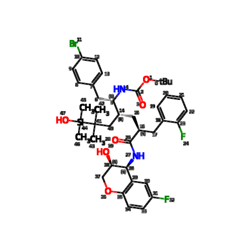 CC(C)(C)OC(=O)N[C@@H](Cc1ccc(Br)cc1)[C@H](C[C@@H](Cc1ccccc1F)C(=O)N[C@H]1c2cc(F)ccc2OC[C@H]1O)CC(C)(C)[Si](C)(C)O